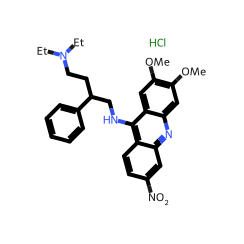 CCN(CC)CCC(CNc1c2ccc([N+](=O)[O-])cc2nc2cc(OC)c(OC)cc12)c1ccccc1.Cl